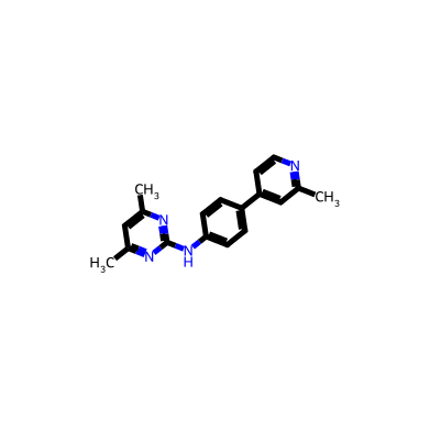 Cc1cc(-c2ccc(Nc3nc(C)cc(C)n3)cc2)ccn1